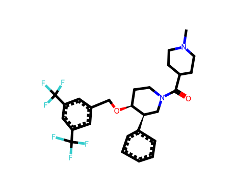 CN1CCC(C(=O)N2CC[C@H](OCc3cc(C(F)(F)F)cc(C(F)(F)F)c3)[C@H](c3ccccc3)C2)CC1